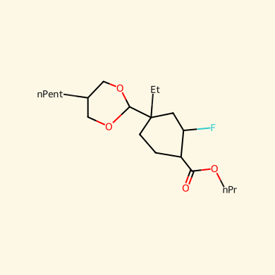 CCCCCC1COC(C2(CC)CCC(C(=O)OCCC)C(F)C2)OC1